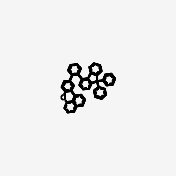 c1ccc(C2(c3ccccc3)c3ccccc3-c3c(-c4ccccc4-c4ccc5c(c4)-c4cccc6cccc(c46)O5)cccc32)cc1